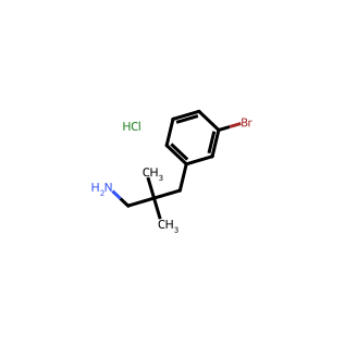 CC(C)(CN)Cc1cccc(Br)c1.Cl